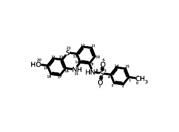 Cc1ccc(S(=O)(=O)Nc2cccc3c2Nc2ccc(O)cc2S3)cc1